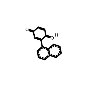 O=C1C=CC(=O)C(c2cccc3ccccc23)=C1.[H+]